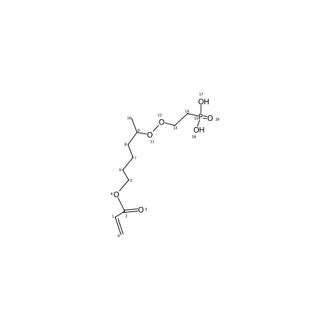 C=CC(=O)OCCCCC(C)OOCCP(=O)(O)O